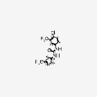 O=C(Nc1ccc(Cl)c(C(F)(F)F)c1)Nc1nnc(C(F)(F)F)s1